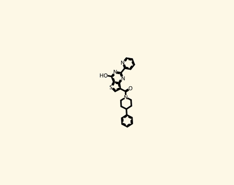 O=C(c1csc2c(O)nc(-c3ccccn3)nc12)N1CCC(c2ccccc2)CC1